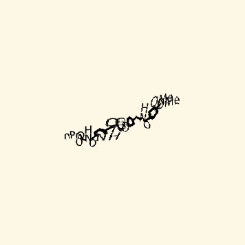 CCCOC(=O)CNC(=O)c1ccc(C(=O)NS(=O)(=O)c2ccc(CCNC(=O)c3ccc(OC)c(OC)c3)cc2)cn1